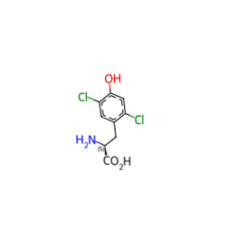 N[C@@H](Cc1cc(Cl)c(O)cc1Cl)C(=O)O